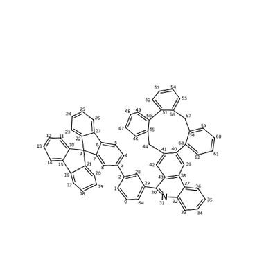 c1cc(-c2ccc3c(c2)C2(c4ccccc4-c4ccccc42)c2ccccc2-3)cc(-c2nc3ccccc3c3cc4c(cc23)Cc2ccccc2-c2ccccc2Cc2ccccc2-4)c1